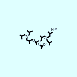 CC(=O)[O-].CC(=O)[O-].CC(C)[CH2][Al]([CH2]C(C)C)[CH2]C(C)C.CC(C)[CH2][Al]([CH2]C(C)C)[CH2]C(C)C.[Ni+2]